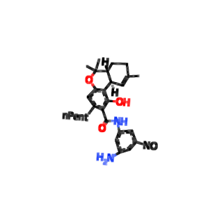 CCCCCc1cc2c(c(O)c1C(=O)Nc1cc(N)cc(N=O)c1)[C@@H]1C=C(C)CC[C@H]1C(C)(C)O2